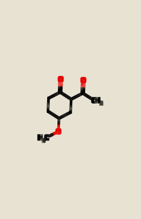 COC1CCC(=O)C(C(C)=O)C1